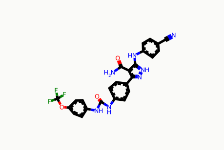 N#Cc1ccc(Nc2[nH]nc(-c3ccc(NC(=O)Nc4ccc(OC(F)(F)F)cc4)cc3)c2C(N)=O)cc1